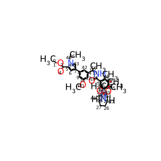 CCOC(=O)c1cc(-c2cc(OC)cc([C@@H](C)NC(=O)c3cc(N4C[C@H]5CC[C@@H](C4)N5C(=O)OC(C)(C)C)ccc3C)c2)cn1CC